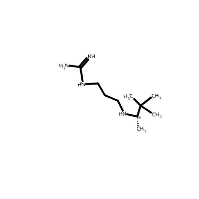 C[C@H](NCCCNC(=N)N)C(C)(C)C